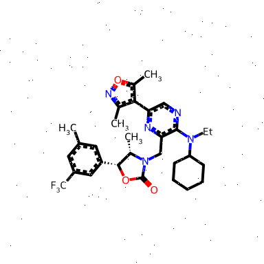 CCN(c1ncc(-c2c(C)noc2C)nc1CN1C(=O)O[C@H](c2cc(C)cc(C(F)(F)F)c2)[C@@H]1C)C1CCCCC1